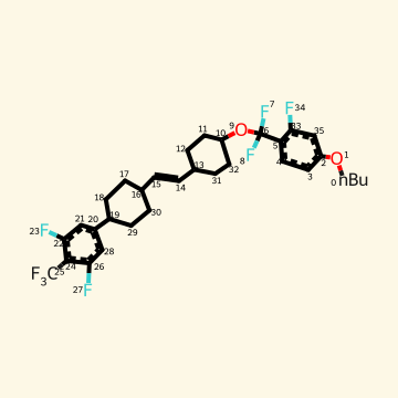 CCCCOc1ccc(C(F)(F)OC2CCC(/C=C/C3CCC(c4cc(F)c(C(F)(F)F)c(F)c4)CC3)CC2)c(F)c1